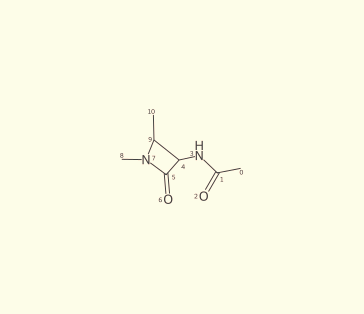 CC(=O)NC1C(=O)N(C)C1C